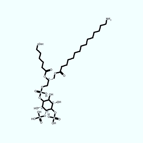 CCCCCCCCCCCCCCCC(=O)O[C@H](COC(=O)CCCCCCCCCCCCCCN)COP(=O)(O)OC1C(O)[C@H](O)C(OP(=O)(O)O)[C@H](OP(=O)(O)O)[C@@H]1O